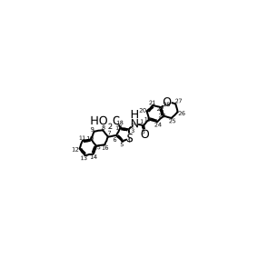 O=C(Nc1scc(C2CCc3ccccc3C2)c1C(=O)O)c1ccc2c(c1)CCCO2